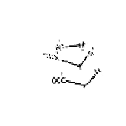 CC(=O)CC(=O)[O-].CC(=O)CC(=O)[O-].CC[CH2][Al+2]